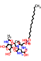 CCCCCCCCCCCCCCCCOP(=O)(O)OC[C@H](N)C(=O)N(CC(C)O[C@H]1[C@H](O)[C@@H](CO)O[C@H](O)[C@@H]1NC(C)=O)[C@H](CCC(=O)O)C(N)=O